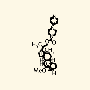 COC1C[C@H]2[C@@H]3CC[C@H]([C@H](C)COC(=O)N4CCN(c5ccncc5)CC4)[C@@]3(C)CC[C@@H]2[C@@]2(C)CC[C@@H]3C[C@]132